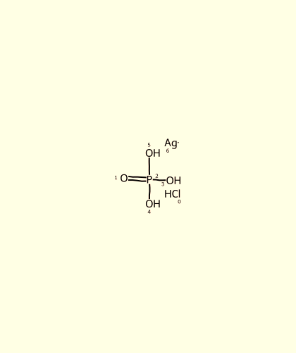 Cl.O=P(O)(O)O.[Ag]